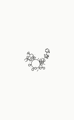 CC[C@@H]1OC(=O)[C@H](C)C(=O)[C@H](C)[C@@H](O[C@@H]2O[C@@H](C)C[C@H](N(C)C)[C@H]2O[Si](CC)(CC)CC)[C@](C)(OC)C[C@@H](C)C(=O)[C@H](C)[C@H]2[C@H](C(C)NO[C@@H](C)c3nnc(-c4ccccn4)s3)C(=O)O[C@@]21C